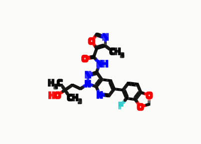 Cc1ncoc1C(=O)Nc1nn(CCC(C)(C)O)c2ncc(-c3ccc4c(c3F)OCO4)cc12